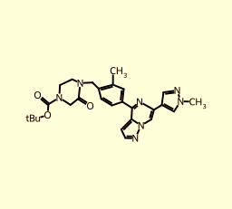 Cc1cc(-c2nc(-c3cnn(C)c3)cn3nccc23)ccc1CN1CCN(C(=O)OC(C)(C)C)CC1=O